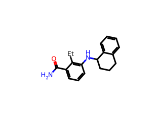 CCc1c(NC2CCCc3ccccc32)cccc1C(N)=O